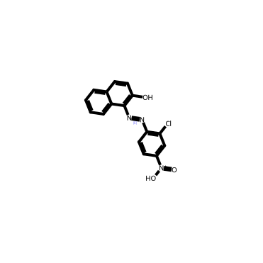 O=[N+](O)c1ccc(/N=N/c2c(O)ccc3ccccc23)c(Cl)c1